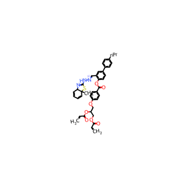 C=CC(=O)OCC(COc1ccc(C(=O)Oc2ccc(-c3ccc(CCC)cc3)cc2/C=N/NC2=NC3C=CC=CC3(C)S2)cc1)OC(=O)C=C